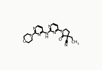 CCC1(C#N)CCN(c2ccnc(Nc3ccnc(N4CCOCC4)n3)n2)C1=O